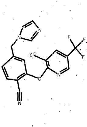 N#Cc1ccc(Cn2ccnc2)cc1Oc1ncc(C(F)(F)F)cc1Cl